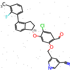 Cc1cccc(-c2cccc3c2CC[C@@H]3Oc2cc(OCc3cncc(C#N)c3)c(C=O)cc2Cl)c1F